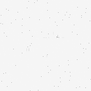 C#CC(C)(O)CCCC(C)CCC